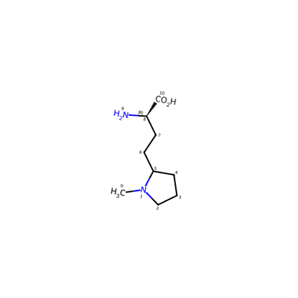 CN1CCCC1CC[C@@H](N)C(=O)O